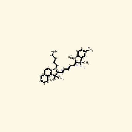 CCN1\C(=C/C=C/C=C/C2=[N+](CCCCS)c3ccc4ccccc4c3C2(C)C)C(C)(C)c2cc(C)ccc21